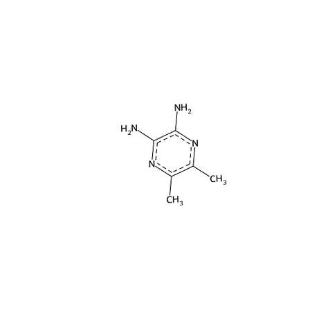 Cc1nc(N)c(N)nc1C